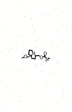 COC[C@@]12CCCN1C(COC(=O)N(C)C)CC2